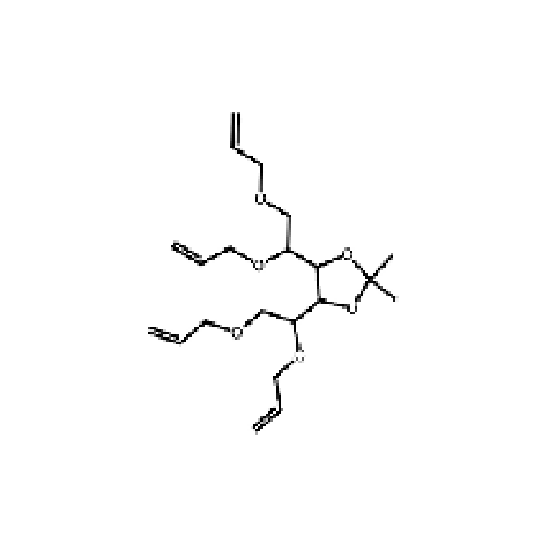 C=CCOCC(OCC=C)C1OC(C)(C)OC1C(COCC=C)OCC=C